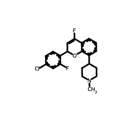 CN1CCC(c2cccc3c2OC(c2ccc(Cl)cc2F)C=C3F)CC1